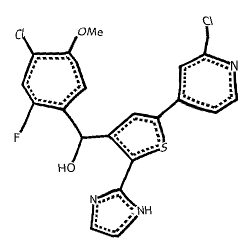 COc1cc(C(O)c2cc(-c3ccnc(Cl)c3)sc2-c2ncc[nH]2)c(F)cc1Cl